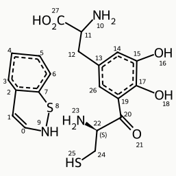 C1=Cc2ccccc2SN1.NC(Cc1cc(O)c(O)c(C(=O)[C@H](N)CS)c1)C(=O)O